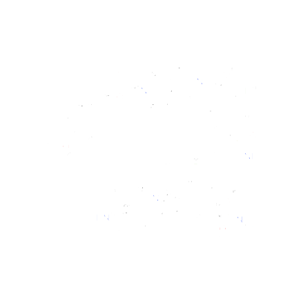 NS(=O)(=O)c1ccc(C(=O)N2CCC3=C(CCN(C(=O)OCc4ccc(OC(F)(F)F)cc4)C3)C2)c(F)c1.NS(=O)(=O)c1ccc(C(=O)N2CCC3=C(CCNC3)C2)c(F)c1